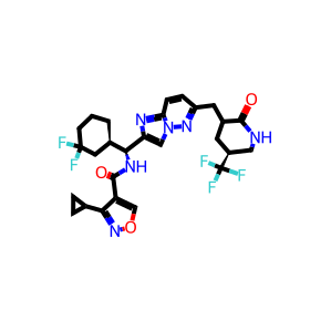 O=C(N[C@H](c1cn2nc(CC3C[C@H](C(F)(F)F)CNC3=O)ccc2n1)[C@@H]1CCCC(F)(F)C1)c1conc1C1CC1